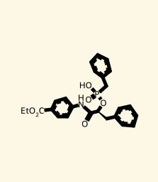 CCOC(=O)c1ccc(NC(=O)[C@H](Cc2ccccc2)OP(=O)(O)Cc2ccccc2)cc1